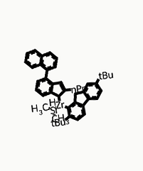 CCCC1=Cc2c(-c3cccc4ccccc34)cccc2[CH]1[Zr]([c]1c(C(C)(C)C)ccc2c1Cc1cc(C(C)(C)C)ccc1-2)[SiH](C)C